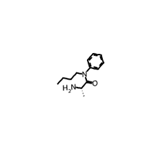 CCCCN(C(=O)[C@H](C)N)c1ccccc1